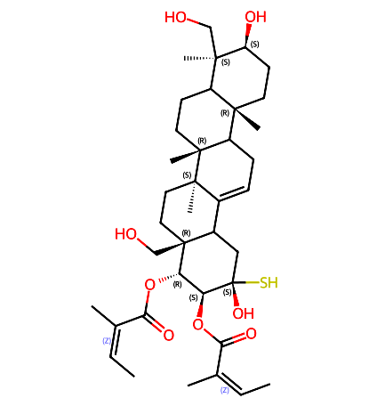 C/C=C(/C)C(=O)O[C@H]1[C@H](OC(=O)/C(C)=C\C)[C@@](O)(S)CC2C3=CCC4[C@@]5(C)CC[C@H](O)[C@](C)(CO)C5CC[C@@]4(C)[C@]3(C)CC[C@]21CO